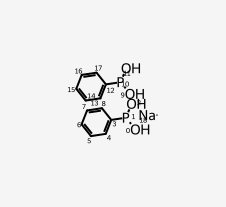 OP(O)c1ccccc1.OP(O)c1ccccc1.[Na]